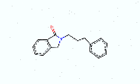 O=C1c2ccccc2CN1CCCc1ccccc1